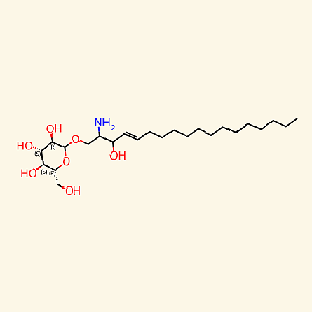 CCCCCCCCCCCCCC=CC(O)C(N)COC1O[C@H](CO)[C@@H](O)[C@H](O)[C@H]1O